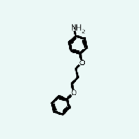 Nc1ccc(OCCCOc2ccccc2)cc1